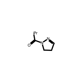 CC(C)C(=O)N1CCC=N1